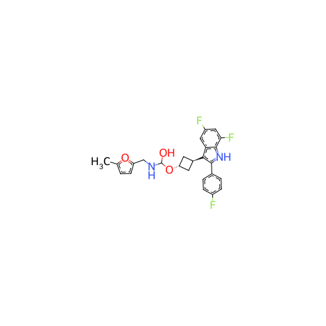 Cc1ccc(CNC(O)O[C@H]2C[C@H](c3c(-c4ccc(F)cc4)[nH]c4c(F)cc(F)cc43)C2)o1